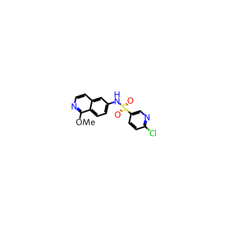 COc1nccc2cc(NS(=O)(=O)c3ccc(Cl)nc3)ccc12